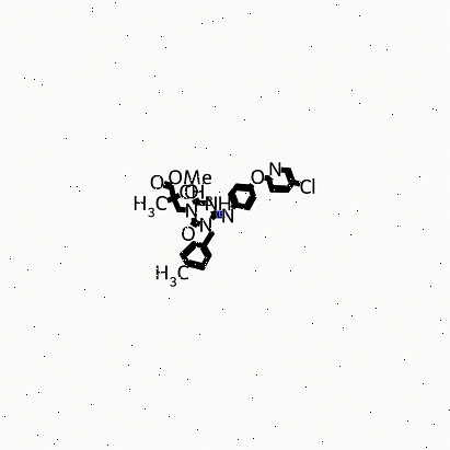 COC(=O)C(C)(C)Cn1c(=O)[nH]/c(=N\c2ccc(Oc3ccc(Cl)cn3)cc2)n(Cc2ccc(C)cc2)c1=O